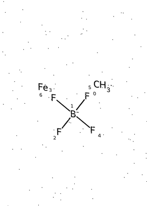 F[B-](F)(F)F.[CH3].[Fe]